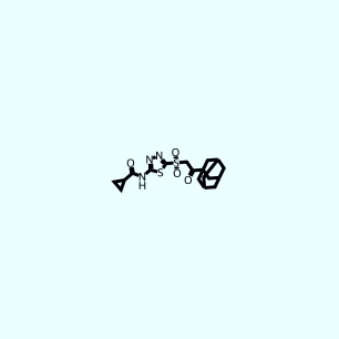 O=C(Nc1nnc(S(=O)(=O)CC(=O)C23CC4CC(CC(C4)C2)C3)s1)C1CC1